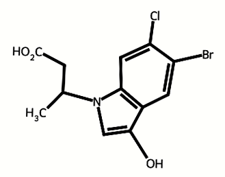 CC(CC(=O)O)n1cc(O)c2cc(Br)c(Cl)cc21